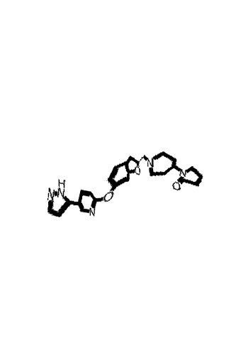 O=C1CCCN1C1CCN(C[C@H]2Cc3ccc(Oc4ccc(-c5ccn[nH]5)cn4)cc3O2)CC1